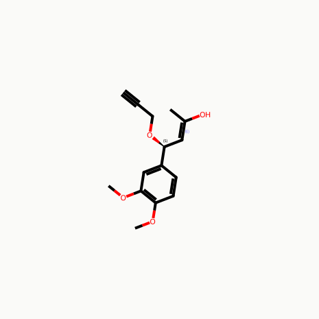 C#CCO[C@@H](/C=C(\C)O)c1ccc(OC)c(OC)c1